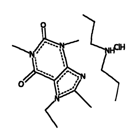 CCCNCCC.CCn1c(C)nc2c1c(=O)n(C)c(=O)n2C.Cl